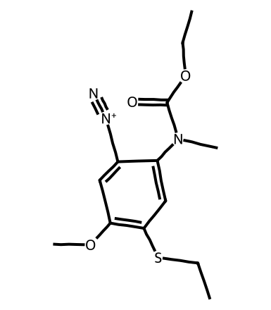 CCOC(=O)N(C)c1cc(SCC)c(OC)cc1[N+]#N